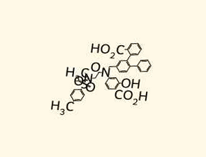 Cc1ccc(S(=O)(=O)N(C)CC(=O)N(Cc2ccc(-c3ccccc3)c(-c3ccccc3C(=O)O)c2)c2ccc(C(=O)O)c(O)c2)cc1